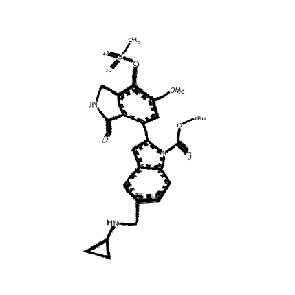 COc1cc(-c2cc3cc(CNC4CC4)ccc3n2C(=O)OC(C)(C)C)c2c(c1OS(C)(=O)=O)CNC2=O